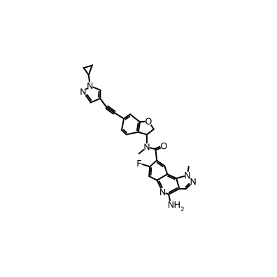 CN(C(=O)c1cc2c(cc1F)nc(N)c1cnn(C)c12)C1COc2cc(C#Cc3cnn(C4CC4)c3)ccc21